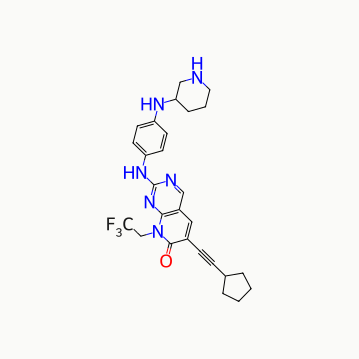 O=c1c(C#CC2CCCC2)cc2cnc(Nc3ccc(NC4CCCNC4)cc3)nc2n1CC(F)(F)F